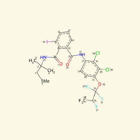 CSCC(C)(C)NC(=O)c1c(I)cccc1C(=O)Nc1ccc(OC(F)(F)C(F)C(F)(F)F)c(Cl)c1Cl